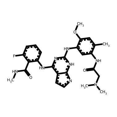 CNC(=O)c1c(F)cccc1Nc1nc(Nc2cc(NC(=O)CN(C)C)c(C)cc2OC)[nH]c2nccc1-2